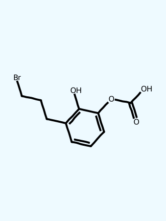 O=C(O)Oc1cccc(CCCBr)c1O